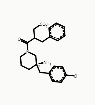 N[C@@]1(Cc2ccc(Cl)cc2)CCCN(C(=O)C(CC(=O)O)Cc2ccccc2)C1